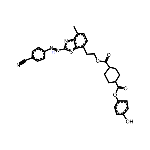 Cc1ccc(CCOC(=O)C2CCC(C(=O)Oc3ccc(O)cc3)CC2)c2sc(/N=N/c3ccc(C#N)cc3)nc12